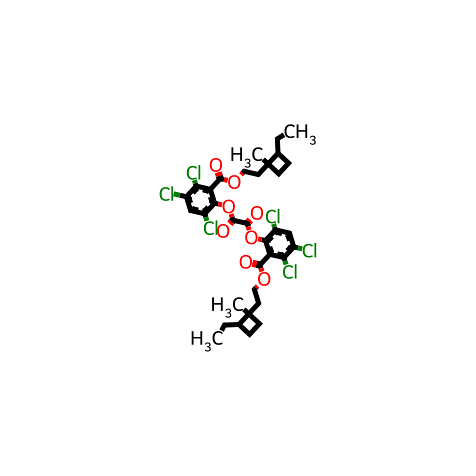 CCC1CCC1(C)CCOC(=O)c1c(Cl)c(Cl)cc(Cl)c1OC(=O)C(=O)Oc1c(Cl)cc(Cl)c(Cl)c1C(=O)OCCC1(C)CCC1CC